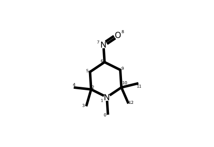 CN1C(C)(C)CC(N=O)CC1(C)C